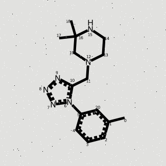 Cc1cccc(-n2nnnc2CN2CCNC(C)(C)C2)c1